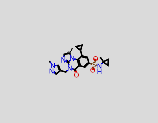 C[C@@H]1CN=C2N(Cc3cnn(C)c3)C(=O)c3cc(S(=O)(=O)NC4(C)CC4)cc(C4CC4)c3N21